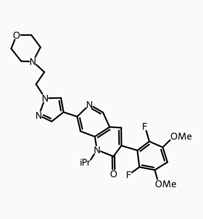 COc1cc(OC)c(F)c(-c2cc3cnc(-c4cnn(CCN5CCOCC5)c4)cc3n(C(C)C)c2=O)c1F